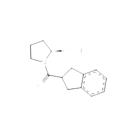 O=C(O)[C@@H]1CCCN1C(=O)C1Cc2ccccc2C1